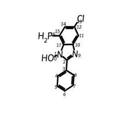 On1c(-c2ccccc2)nc2cc(Cl)cc(P)c21